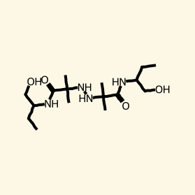 CCC(CO)NC(=O)C(C)(C)NNC(C)(C)C(=O)NC(CC)CO